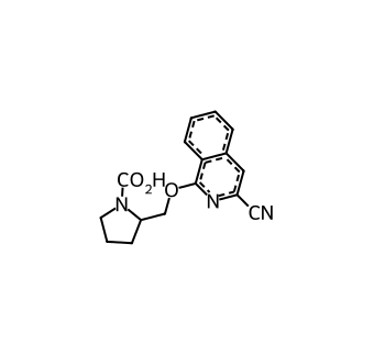 N#Cc1cc2ccccc2c(OCC2CCCN2C(=O)O)n1